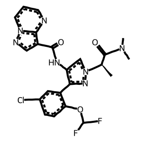 C[C@H](C(=O)N(C)C)n1cc(NC(=O)c2cnn3cccnc23)c(-c2cc(Cl)ccc2OC(F)F)n1